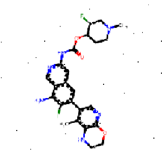 Cc1c(-c2cc3cc(NC(=O)O[C@@H]4CCN(C)C[C@@H]4F)ncc3c(N)c2F)cnc2c1NCCO2